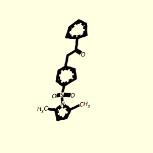 Cc1ccc(C)n1S(=O)(=O)c1ccc(CC(=O)c2ccccc2)cc1